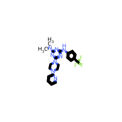 CN(C)c1nc(Nc2ccc(C(F)(F)F)cc2)nc(N2CCN(c3ccccn3)CC2)n1